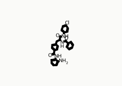 Nc1ccccc1NC(=O)c1ccc(CC(NC(=O)c2ccccc2)C(=O)Nc2ccc(Cl)cc2)cc1